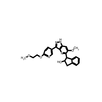 COCCOc1ccc(-c2n[nH]c3cc(OC)c(C4c5ccccc5CC4O)nc23)cn1